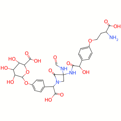 NC(CCOc1ccc(C(O)C(=O)NC2(NC=O)CN(C(C(=O)O)c3ccc(OC4OC(C(=O)O)C(O)C(O)C4O)cc3)C2=O)cc1)C(=O)O